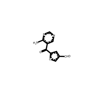 Nc1ncncc1C(=O)c1cc(C=O)co1